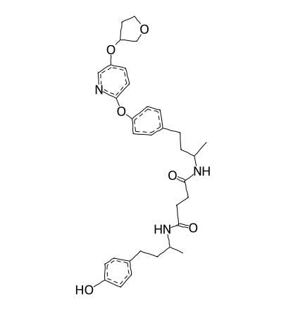 CC(CCc1ccc(O)cc1)NC(=O)CCC(=O)NC(C)CCc1ccc(Oc2ccc(OC3CCOC3)cn2)cc1